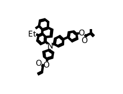 C=CC(=O)Oc1ccc(N(c2ccc(-c3ccc(OC(=O)C(=C)C)cc3)cc2)c2ccc(CC)c3c4c(ccc23)CC=CC4C)cc1